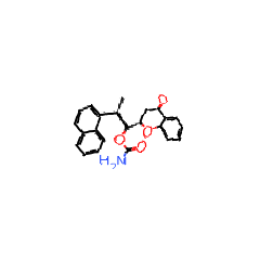 C[C@H](c1cccc2ccccc12)C(OC(N)=O)[C@H]1CC(=O)c2ccccc2O1